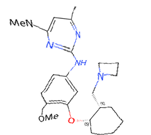 CNc1cc(C)nc(Nc2ccc(OC)c(O[C@H]3CCCC[C@H]3CN3CCC3)c2)n1